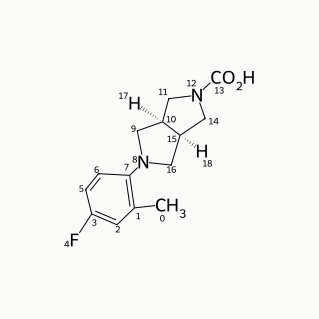 Cc1cc(F)ccc1N1C[C@H]2CN(C(=O)O)C[C@H]2C1